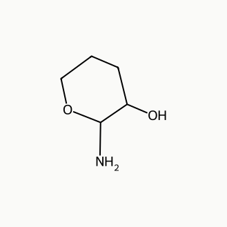 NC1OCCCC1O